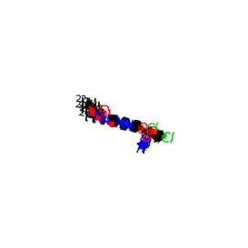 [2H]C([2H])([2H])C([2H])([2H])C([2H])(n1ncn(-c2ccc(N3CCN(c4ccc(OC[C@H]5CO[C@](Cn6cncn6)(c6ccc(Cl)cc6Cl)O5)cc4)CC3)cc2)c1=O)C([2H])([2H])[2H]